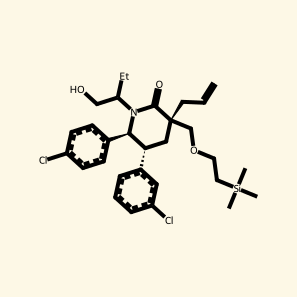 C=CC[C@@]1(COCC[Si](C)(C)C)C[C@H](c2cccc(Cl)c2)[C@@H](c2ccc(Cl)cc2)N(C(CC)CO)C1=O